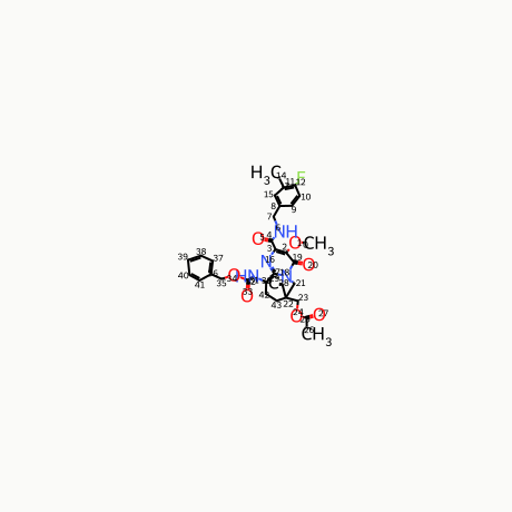 COc1c(C(=O)NCc2ccc(F)c(C)c2)nc2n(c1=O)CC1(COC(C)=O)CCC2(NC(=O)OCc2ccccc2)CC1